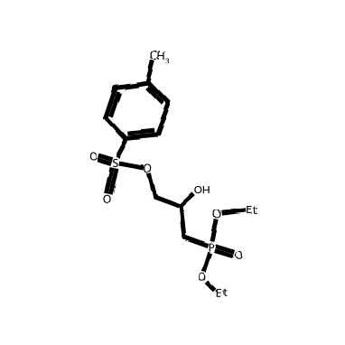 CCOP(=O)(CC(O)COS(=O)(=O)c1ccc(C)cc1)OCC